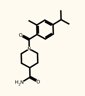 Cc1cc(C(C)C)ccc1C(=O)N1CCC(C(N)=O)CC1